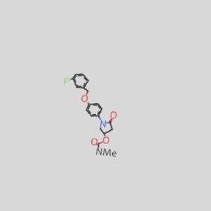 CNC(=O)OC1CC(=O)N(c2ccc(OCc3cccc(F)c3)cc2)C1